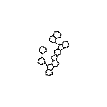 c1ccc(-c2cccc(-n3c4ccccc4c4ccc5c6cc7c8ccccc8n(-c8cccc9ccccc89)c7cc6sc5c43)c2)cc1